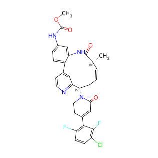 COC(=O)Nc1ccc2c(c1)NC(=O)[C@H](C)C=CC[C@H](N1CCC(c3c(F)ccc(Cl)c3F)=CC1=O)c1cc-2ccn1